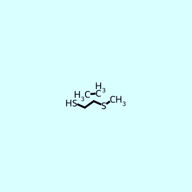 CC.CSCCS